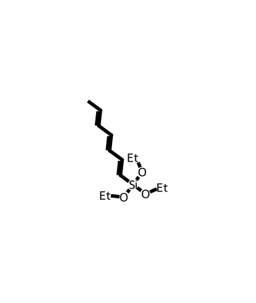 CC=CC=CC=C[Si](OCC)(OCC)OCC